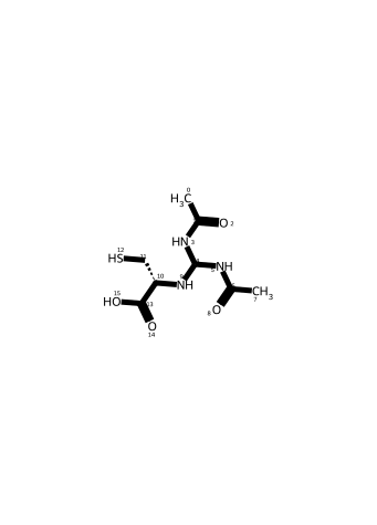 CC(=O)NC(NC(C)=O)N[C@@H](CS)C(=O)O